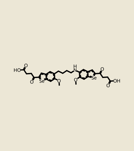 COc1cc2[se]c(C(=O)CCC(=O)O)cc2cc1CCCCNc1cc2cc(C(=O)CCC(=O)O)[se]c2cc1OC